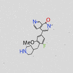 COc1cc(-c2cn(C)c(=O)c3cnccc23)cc(F)c1CC1CCNCC1